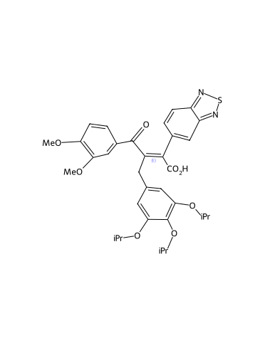 COc1ccc(C(=O)/C(Cc2cc(OC(C)C)c(OC(C)C)c(OC(C)C)c2)=C(/C(=O)O)c2ccc3nsnc3c2)cc1OC